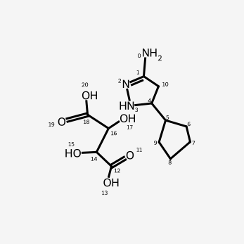 NC1=NNC(C2CCCC2)C1.O=C(O)C(O)C(O)C(=O)O